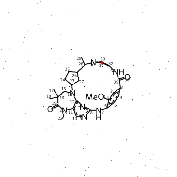 COc1cc2ccc1Nc1ncc3c(n1)N(CC(C)(C)C(=O)N3C)C1CCC(C1)C(C)N1CC(C1)NC2=O